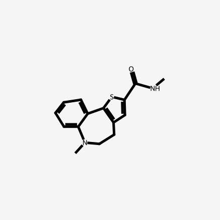 CNC(=O)c1cc2c(s1)-c1ccccc1N(C)CC2